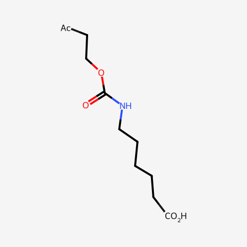 CC(=O)CCOC(=O)NCCCCCC(=O)O